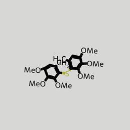 COc1cc(C)c(Sc2c(C)cc(OC)c(OC)c2OC)c(OC)c1OC